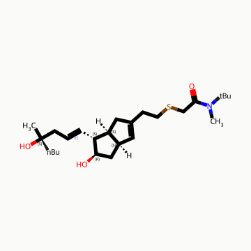 CCCC[C@](C)(O)C/C=C/[C@@H]1[C@H]2CC(CCSCC(=O)N(C)C(C)(C)C)=C[C@H]2C[C@H]1O